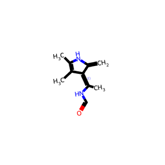 C=c1[nH]c(C)c(C)/c1=C(/C)NC=O